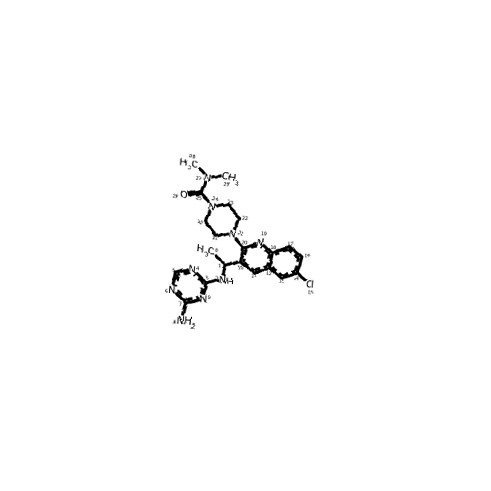 CC(Nc1ncnc(N)n1)c1cc2cc(Cl)ccc2nc1N1CCN(C(=O)N(C)C)CC1